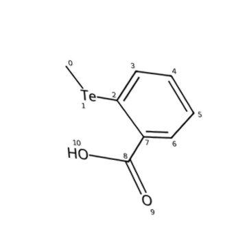 C[Te]c1ccccc1C(=O)O